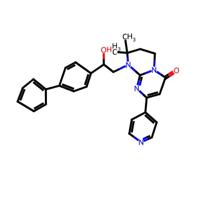 CC1(C)CCn2c(nc(-c3ccncc3)cc2=O)N1CC(O)c1ccc(-c2ccccc2)cc1